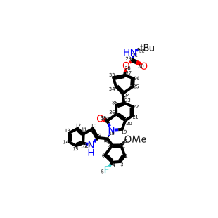 COc1ccc(F)cc1[C@H](c1cc2ccccc2[nH]1)N1Cc2ccc(-c3ccc(OC(=O)NC(C)(C)C)cc3)cc2C1=O